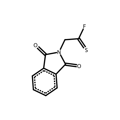 O=C1c2ccccc2C(=O)N1CC(F)=S